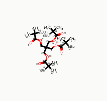 CCCCC(C)(C)C(=O)OCC(COC(=O)C(C)(C)CCCC)(COC(=O)C(C)(C)CCCC)COC(=O)C(C)(C)CCCC